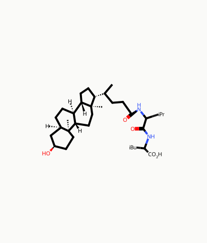 CCC(C)C(NC(=O)C(NC(=O)CCC(C)[C@H]1CC[C@H]2[C@@H]3CC[C@@H]4C[C@H](O)CC[C@]4(C)[C@H]3CC[C@]12C)C(C)C)C(=O)O